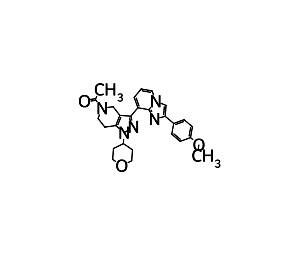 COc1ccc(-c2cn3cccc(-c4nn(C5CCOCC5)c5c4CN(C(C)=O)CC5)c3n2)cc1